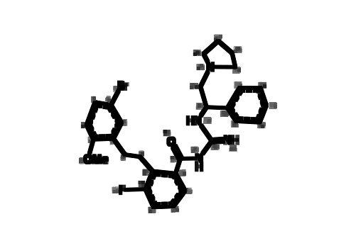 COc1ccc(Br)cc1CCc1c(F)cccc1C(=O)NC(=N)NC(CN1CCCC1)c1ccccc1